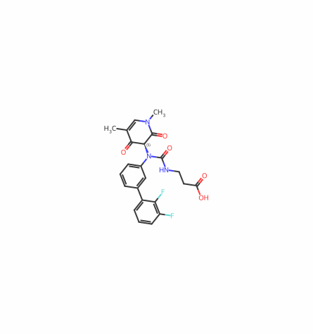 CC1=CN(C)C(=O)[C@@H](N(C(=O)NCCC(=O)O)c2cccc(-c3cccc(F)c3F)c2)C1=O